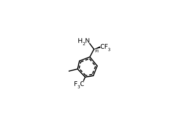 Cc1cc([C@@H](N)C(F)(F)F)ccc1C(F)(F)F